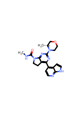 CNC(=O)N1CCc2c(-c3ccnc4[nH]ccc34)nc(N3CCOC[C@H]3C)nc21